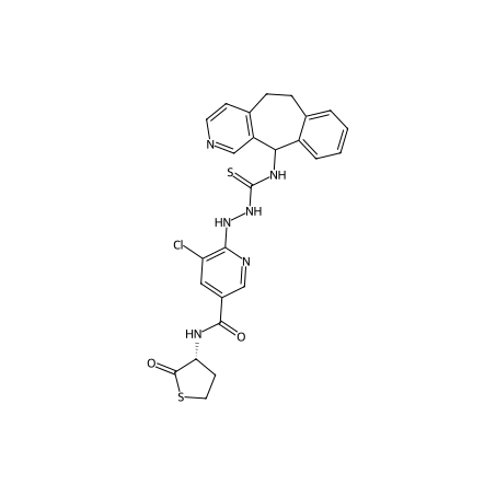 O=C(N[C@@H]1CCSC1=O)c1cnc(NNC(=S)NC2c3ccccc3CCc3ccncc32)c(Cl)c1